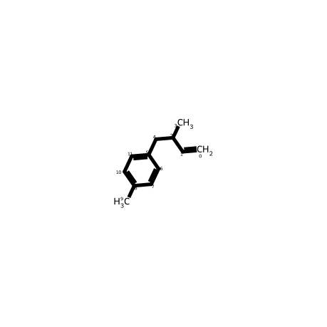 C=CC(C)Cc1ccc(C)cc1